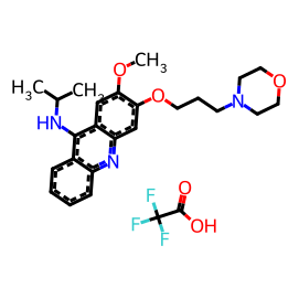 COc1cc2c(NC(C)C)c3ccccc3nc2cc1OCCCN1CCOCC1.O=C(O)C(F)(F)F